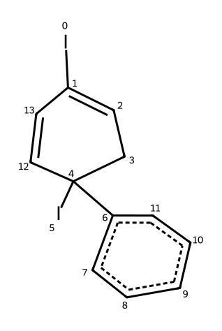 IC1=CCC(I)(c2ccccc2)C=C1